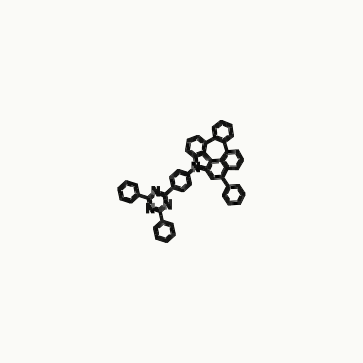 c1ccc(-c2nc(-c3ccccc3)nc(-c3ccc(-n4c5cccc6c5c5c7c(cccc7c(-c7ccccc7)cc54)-c4ccccc4-6)cc3)n2)cc1